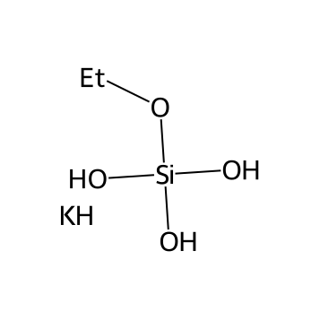 CCO[Si](O)(O)O.[KH]